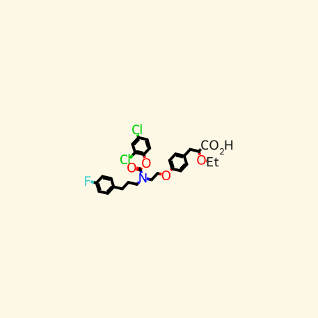 CCOC(Cc1ccc(OCCN(CCCc2ccc(F)cc2)C(=O)Oc2ccc(Cl)cc2Cl)cc1)C(=O)O